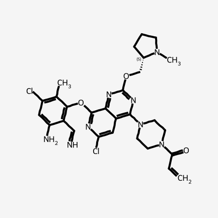 C=CC(=O)N1CCN(c2nc(OC[C@@H]3CCCN3C)nc3c(Oc4c(C)c(Cl)cc(N)c4C=N)nc(Cl)cc23)CC1